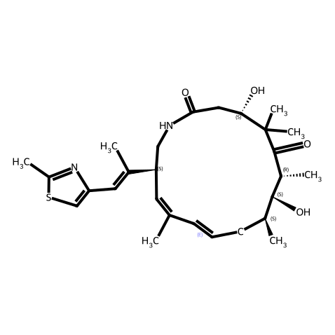 CC1=C[C@@H](C(C)=Cc2csc(C)n2)CNC(=O)C[C@H](O)C(C)(C)C(=O)[C@H](C)[C@@H](O)[C@@H](C)C/C=C/1